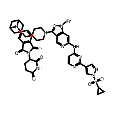 CC(C)n1nc(N2CCC(CN3CC4CC(C3)N4c3ccc4c(c3)C(=O)N(C3CCC(=O)NC3=O)C4=O)CC2)c2cnc(Nc3ccnc(-c4cnn(S(=O)(=O)C5CC5)c4)n3)cc21